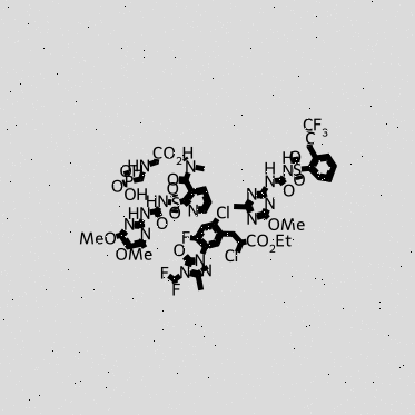 CCOC(=O)C(Cl)Cc1cc(-n2nc(C)n(C(F)F)c2=O)c(F)cc1Cl.COc1cc(OC)nc(NC(=O)NS(=O)(=O)c2ncccc2C(=O)N(C)C)n1.COc1nc(C)nc(NC(=O)NS(=O)(=O)c2ccccc2CCC(F)(F)F)n1.O=C(O)CNCP(=O)(O)O